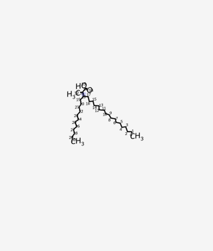 CCCCCCCCCCCCCCCCCC/C(CCCCCCCCCCCC)=C(/C)C(=O)O